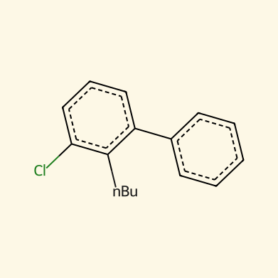 CCCCc1c(Cl)cccc1-c1ccccc1